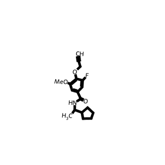 C#CCOc1c(F)cc(C(=O)NC(C)C2CCCC2)cc1OC